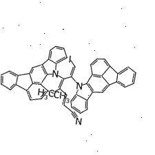 CC(/C=C/C#N)=C(/C(=C\I)n1c2ccccc2c2cc3c4c(cccc4c21)-c1ccccc1-3)n1c2ccccc2c2cc3c4c(ccc(C)c4c21)-c1ccccc1-3